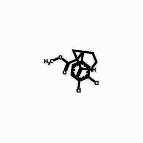 COC(=O)C12CC1(c1ccc(Cl)c(Cl)c1)CCNC2=O